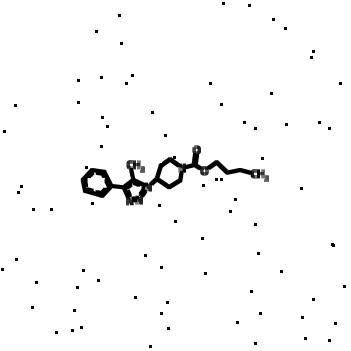 CCCCOC(=O)N1CCC(n2nnc(-c3ccccc3)c2C)CC1